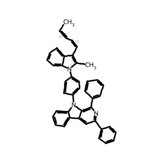 C/C=C\C=C/c1c(C)n(-c2ccc(-n3c4ccccc4c4cc(-c5ccccc5)nc(-c5ccccc5)c43)cc2)c2ccccc12